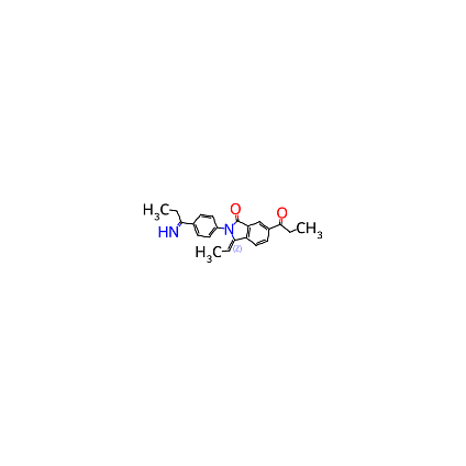 C/C=C1/c2ccc(C(=O)CC)cc2C(=O)N1c1ccc(C(=N)CC)cc1